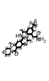 COc1cc2c(NC(C)c3cc(CC(N)=O)cc(C(F)(F)F)c3)nc(C)nc2cc1C(=O)N1CCOCC1